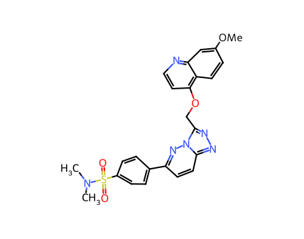 COc1ccc2c(OCc3nnc4ccc(-c5ccc(S(=O)(=O)N(C)C)cc5)nn34)ccnc2c1